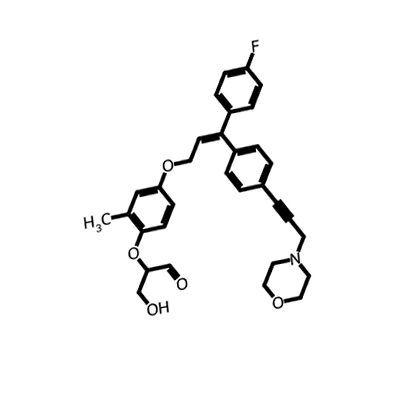 Cc1cc(OC/C=C(/c2ccc(F)cc2)c2ccc(C#CCN3CCOCC3)cc2)ccc1OC(C=O)CO